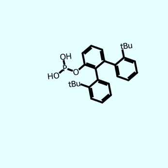 CC(C)(C)c1ccccc1-c1cccc(OP(O)O)c1-c1ccccc1C(C)(C)C